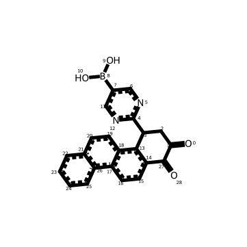 O=C1CC(c2ncc(B(O)O)cn2)c2c(ccc3c2ccc2ccccc23)C1=O